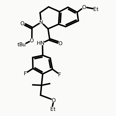 CCOCC(C)(C)c1c(F)cc(NC(=O)C2c3ccc(OCC)cc3CCN2C(=O)OC(C)(C)C)cc1F